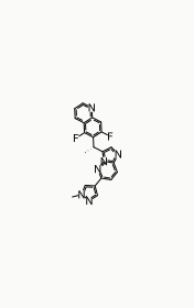 C[C@H](c1c(F)cc2ncccc2c1F)c1cnc2ccc(-c3cnn(C)c3)nn12